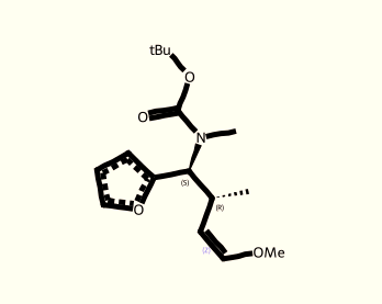 CO/C=C\[C@@H](C)[C@@H](c1ccco1)N(C)C(=O)OC(C)(C)C